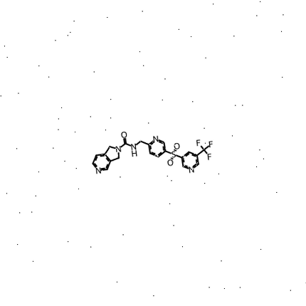 O=C(NCc1ccc(S(=O)(=O)c2cncc(C(F)(F)F)c2)cn1)N1Cc2ccncc2C1